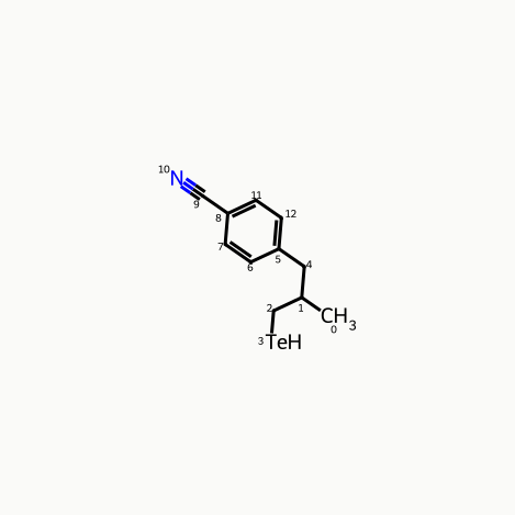 CC(C[TeH])Cc1ccc(C#N)cc1